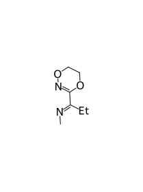 CC/C(=N\C)C1=NOCCO1